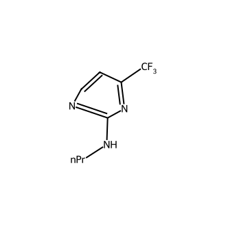 [CH2]CCNc1nccc(C(F)(F)F)n1